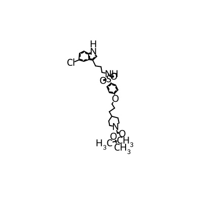 CC(C)(C)OC(=O)N1CCC(CCCOc2ccc(S(=O)(=O)NCCCc3c[nH]c4ccc(Cl)cc34)cc2)CC1